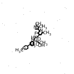 Cc1cc(C(=O)Nc2nc3cc(C4CCN(C)CC4)ccc3n2CC(C)(C)O)c(F)c(-c2cnn(C)c2C)n1